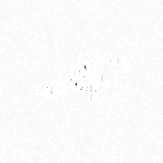 CCCOc1ccc(Nc2c(C)c(N)nn3cc([C@H]4CC[C@H](N)CC4)nc23)cc1